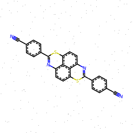 N#Cc1ccc(C2=Nc3ccc4c5c(ccc(c35)S2)N=C(c2ccc(C#N)cc2)S4)cc1